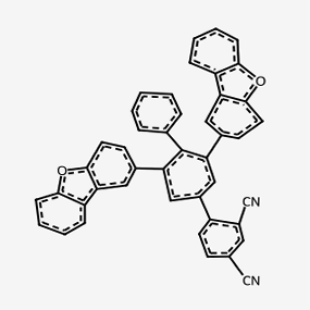 N#Cc1ccc(-c2cc(-c3ccc4oc5ccccc5c4c3)c(-c3ccccc3)c(-c3ccc4oc5ccccc5c4c3)c2)c(C#N)c1